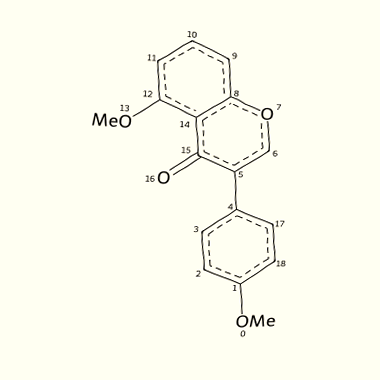 COc1ccc(-c2coc3cccc(OC)c3c2=O)cc1